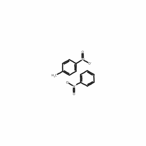 Cc1ccc([N+](=O)[O-])cc1.O=[N+]([O-])c1ccccc1